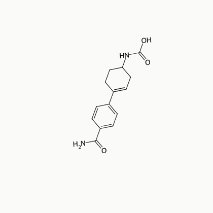 NC(=O)c1ccc(C2=CCC(NC(=O)O)CC2)cc1